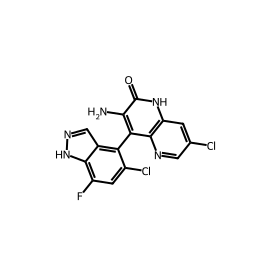 Nc1c(-c2c(Cl)cc(F)c3[nH]ncc23)c2ncc(Cl)cc2[nH]c1=O